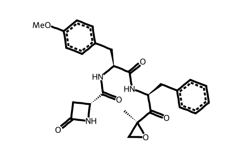 COc1ccc(C[C@H](NC(=O)[C@H]2CC(=O)N2)C(=O)N[C@@H](Cc2ccccc2)C(=O)[C@]2(C)CO2)cc1